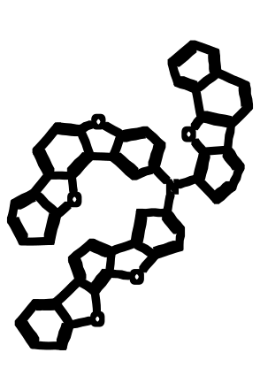 c1ccc2c(c1)ccc1c3cccc(N(c4ccc5oc6c(ccc7c8ccccc8oc76)c5c4)c4ccc5oc6ccc7c8ccccc8oc7c6c5c4)c3oc21